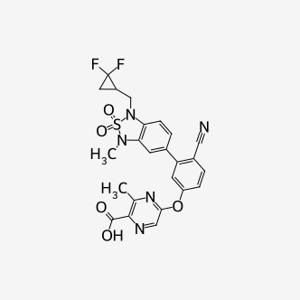 Cc1nc(Oc2ccc(C#N)c(-c3ccc4c(c3)N(C)S(=O)(=O)N4CC3CC3(F)F)c2)cnc1C(=O)O